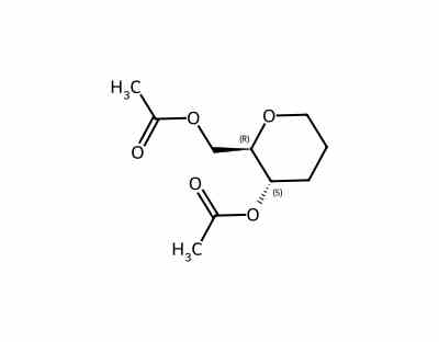 CC(=O)OC[C@H]1OCCC[C@@H]1OC(C)=O